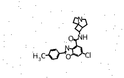 Cc1ccc(-c2nc3c(C(=O)NC4CC56CCN5CCC46)cc(Cl)cc3o2)cc1